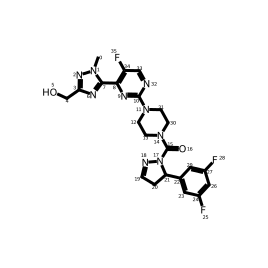 Cn1nc(CO)nc1-c1nc(N2CCN(C(=O)N3N=CCC3c3cc(F)cc(F)c3)CC2)ncc1F